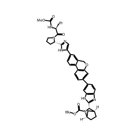 COC(=O)N[C@H](C(=O)N1CCC[C@H]1c1ncc(-c2ccc3c(c2)COc2cc(-c4ccc5nc([C@@H]6[C@H]7CC[C@H](C7)N6C(=O)OC(C)(C)C)[nH]c5c4)ccc2-3)[nH]1)C(C)C